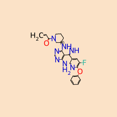 C=CC(=O)N1CCC[C@@H](Nc2ncnc(N)c2C(=N)c2cnc(Oc3ccccc3)c(F)c2)C1